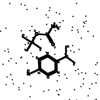 CC(C)(C)OC(N)=O.CC(C)c1ccc(Br)cc1